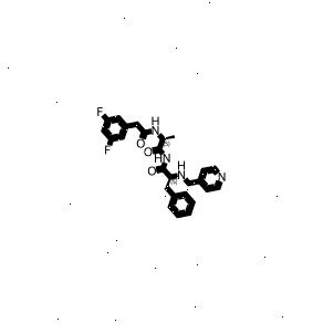 C[C@H](NC(=O)Cc1cc(F)cc(F)c1)C(=O)NC(=O)[C@H](Cc1ccccc1)NCc1ccncc1